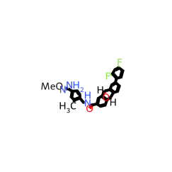 CON=C(N)c1ccc(CNC(=O)c2ccc3c(c2)[C@@H]2O[C@H]3c3ccc(-c4ccc(F)cc4F)cc32)c(C)c1